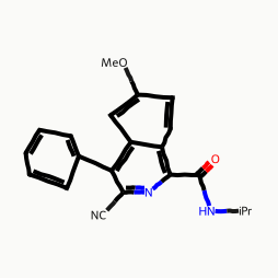 COc1ccc2c(C(=O)NC(C)C)nc(C#N)c(-c3ccccc3)c2c1